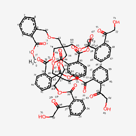 COC(=O)c1ccccc1COCC(COCC(COC(=O)c1ccccc1C(=O)CO)(COC(=O)c1ccccc1C(=O)CO)COC(=O)c1ccccc1C(=O)OC)(COC(=O)c1ccccc1C(=O)CO)COC(=O)c1ccccc1C(=O)OC